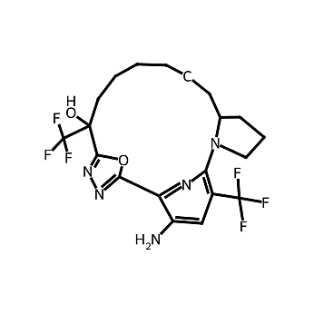 Nc1cc(C(F)(F)F)c2nc1-c1nnc(o1)C(O)(C(F)(F)F)CCCCCCC1CCCN21